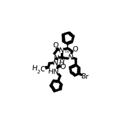 C=CCN(C(=O)NCc1ccccc1)N1CC(=O)N2[C@@H](c3ccccc3)C(=O)N(Cc3cccc(Br)c3)C[C@@H]21